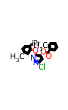 Cc1ccc(C(C)C)c(Oc2nnc(Cl)cc2OC(=O)c2ccccc2C)c1